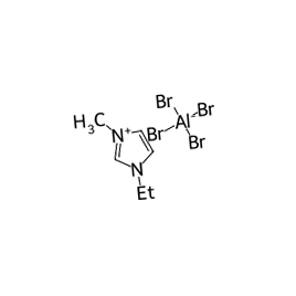 CCn1cc[n+](C)c1.[Br][Al-]([Br])([Br])[Br]